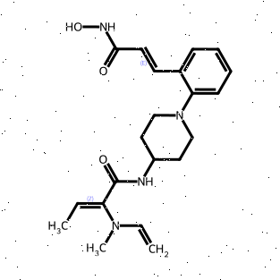 C=CN(C)/C(=C\C)C(=O)NC1CCN(c2ccccc2/C=C/C(=O)NO)CC1